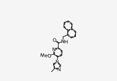 COc1nc(C(=O)NCc2cccc3ccccc23)ccc1-n1cnc(C)c1